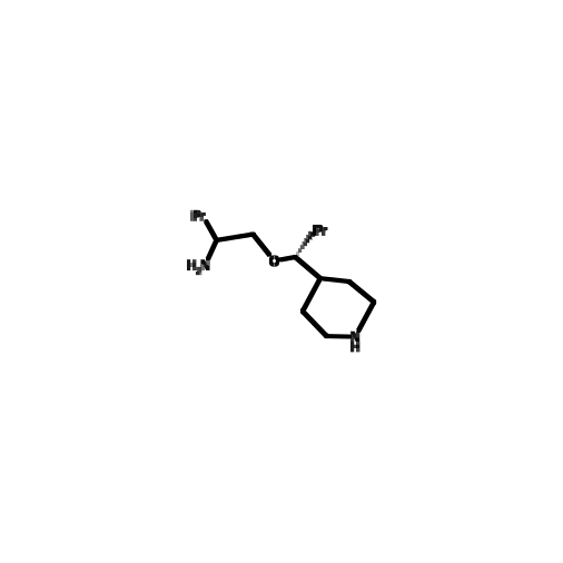 CC(C)C(N)CO[C@H](C(C)C)C1CCNCC1